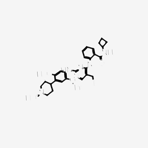 Cc1cc(Nc2ncc(CI)c(Nc3ccccc3C(=O)NC3CCC3)n2)c(OC(C)C)cc1C1CCN(C)CC1